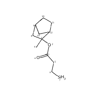 CC1(OC(=O)CC[SiH3])CC2CCC1C2